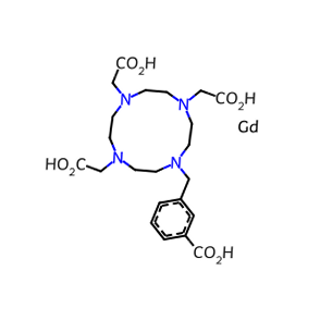 O=C(O)CN1CCN(CC(=O)O)CCN(Cc2cccc(C(=O)O)c2)CCN(CC(=O)O)CC1.[Gd]